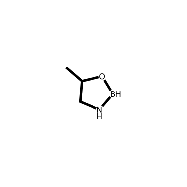 CC1CNBO1